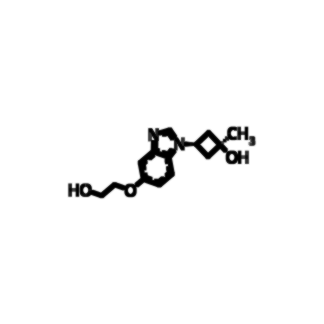 C[C@]1(O)C[C@@H](n2cnc3cc(OCCO)ccc32)C1